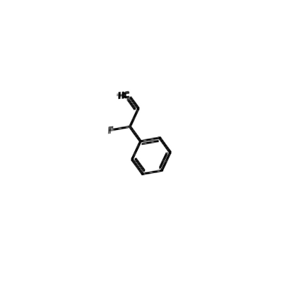 [CH]=CC(F)c1ccccc1